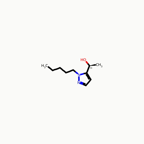 CCCCCn1nccc1[C@H](C)O